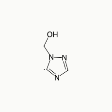 OCn1[c]ncn1